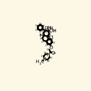 CCC12CC(C)(O)[C@](O)(c3ccccc3)C[C@H]1CCc1cc(OCC(=O)N3CCN(C)CC3)ccc12